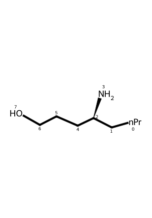 CCCC[C@H](N)CCCO